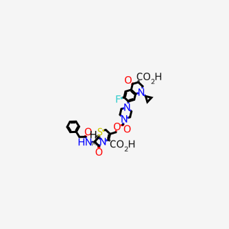 O=C(Cc1ccccc1)N[C@@H]1C(=O)N2C(C(=O)O)=C(COC(=O)N3CCN(c4cc5c(cc4F)C(=O)C(C(=O)O)CN5C4CC4)CC3)CS[C@H]12